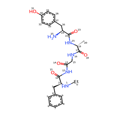 CCN[C@@H](Cc1ccccc1)C(=O)NC(=O)CNC(=O)[C@@H](C)NC(=O)[C@@H](N)Cc1ccc(O)cc1